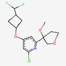 COC1(c2cc(OC3CC(C(F)F)C3)cc(Cl)n2)CCOC1